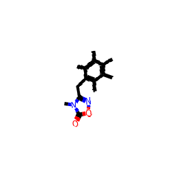 Cc1c(C)c(C)c(Cc2noc(=O)n2C)c(C)c1C